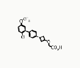 O=C(O)CO[C@H]1C[C@@H](c2ccc(-c3cc(OC(F)(F)F)ccc3Cl)cc2)C1